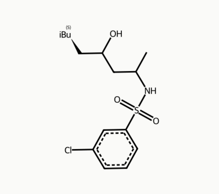 CC[C@H](C)CC(O)CC(C)NS(=O)(=O)c1cccc(Cl)c1